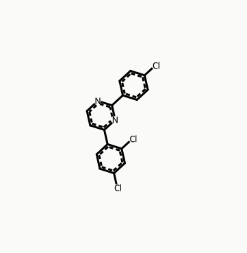 Clc1ccc(-c2nccc(-c3ccc(Cl)cc3Cl)n2)cc1